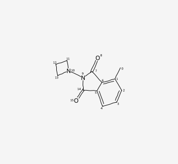 Cc1cccc2c1C(=O)N(N1CCC1)C2=O